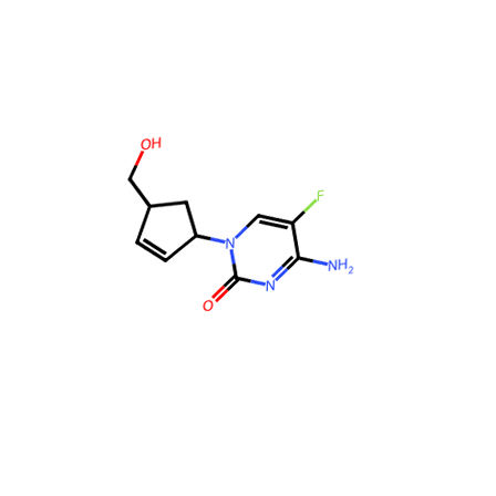 Nc1nc(=O)n(C2C=CC(CO)C2)cc1F